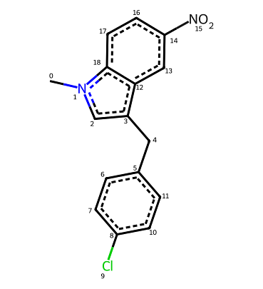 Cn1cc(Cc2ccc(Cl)cc2)c2cc([N+](=O)[O-])ccc21